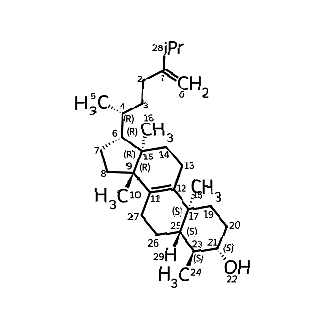 C=C(CC[C@@H](C)[C@H]1CC[C@@]2(C)C3=C(CC[C@]12C)[C@@]1(C)CC[C@H](O)[C@@H](C)[C@@H]1CC3)C(C)C